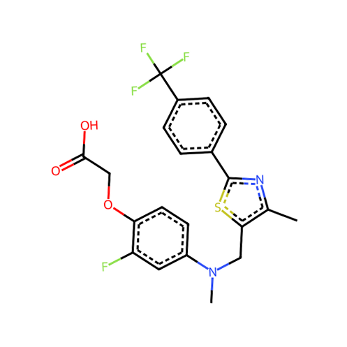 Cc1nc(-c2ccc(C(F)(F)F)cc2)sc1CN(C)c1ccc(OCC(=O)O)c(F)c1